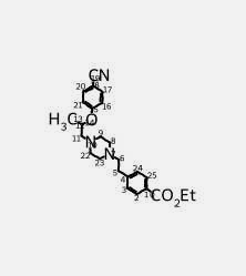 CCOC(=O)c1ccc(CCN2CCN(CC(C)Oc3ccc(C#N)cc3)CC2)cc1